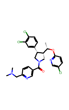 C[C@H](Oc1ccc(Cl)cn1)[C@@H]1CN(C(=O)c2ccc(CN(C)C)nc2)C[C@@H]1c1ccc(Cl)c(Cl)c1